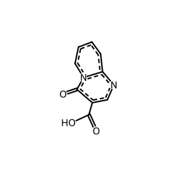 O=C(O)c1cnc2ccccn2c1=O